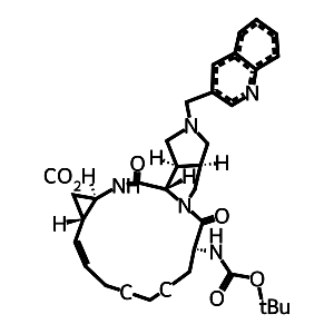 CC(C)(C)OC(=O)N[C@@H]1CCCCC/C=C\[C@@H]2C[C@@]2(C(=O)O)NC(=O)[C@@H]2[C@H]3CN(Cc4cnc5ccccc5c4)C[C@H]3CN2C1=O